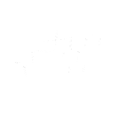 O=C(NC(c1ccc([N+](=O)O)cc1)P(=O)([O-])O)N(c1ccccc1)c1ccccc1